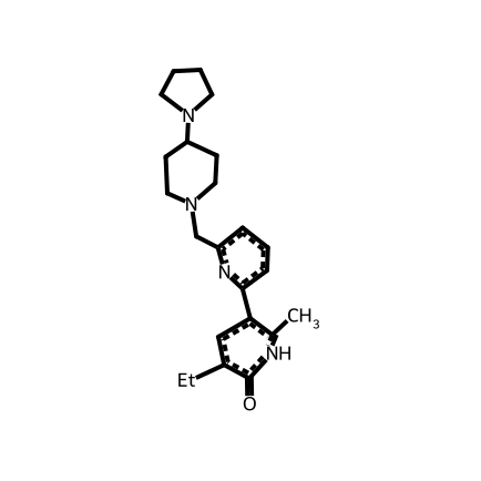 CCc1cc(-c2cccc(CN3CCC(N4CCCC4)CC3)n2)c(C)[nH]c1=O